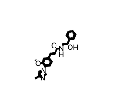 COc1cc(C=CC(=O)NCC(O)c2ccccc2)ccc1-n1cnc(C)c1